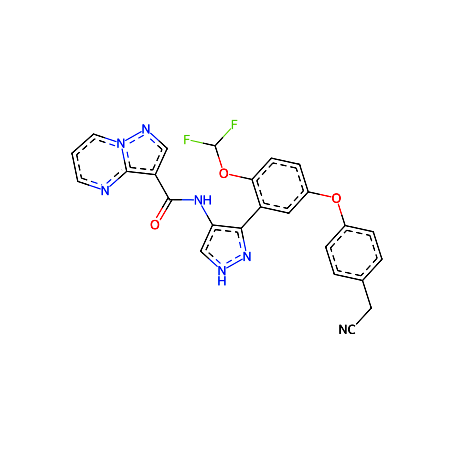 N#CCc1ccc(Oc2ccc(OC(F)F)c(-c3n[nH]cc3NC(=O)c3cnn4cccnc34)c2)cc1